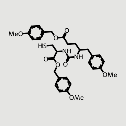 COc1ccc(COC(=O)CCC(Cc2ccc(OC)cc2)NC(=O)NC(CS)C(=O)OCc2ccc(OC)cc2)cc1